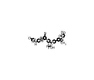 Cn1nc(N2CCC(=O)NC2=O)c2ccc(C3CCN(CC4CCN(c5cc(C#N)cc(S(=O)(=O)N6CCC(Nc7ncc(Cl)cn7)CC6)c5)CC4)CC3)cc21.O=C(O)C(F)(F)F